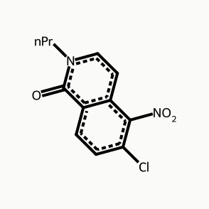 CCCn1ccc2c([N+](=O)[O-])c(Cl)ccc2c1=O